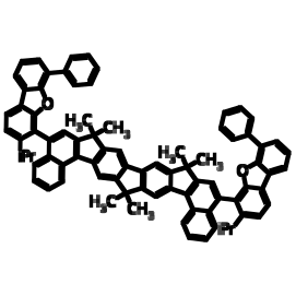 CC(C)c1ccc2c(oc3c(-c4ccccc4)cccc32)c1-c1cc2c(c3ccccc13)-c1cc3c(cc1C2(C)C)-c1cc2c(cc1C3(C)C)-c1c(cc(-c3c(C(C)C)ccc4c3oc3c(-c5ccccc5)cccc34)c3ccccc13)C2(C)C